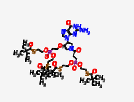 CC(C)(C)C(=O)SCCOP(=O)(CCO[C@@H]1CN(C(=O)CCP(=O)(OCCSC(=O)C(C)(C)C)OCCSC(=O)C(C)(C)C)CC1n1cnc2c(=O)[nH]c(N)nc21)OCCSC(=O)C(C)(C)C